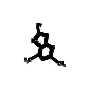 Cc1cc(C(F)(F)F)n2nc(C(C)C)cc2n1